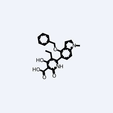 CCc1c(-c2ccc3c(ccn3C)c2OCc2ccccc2)[nH]c(=O)c(C(=O)O)c1O